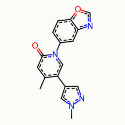 Cc1cc(=O)n(-c2ccc3ocnc3c2)cc1-c1cnn(C)c1